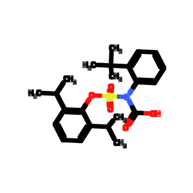 CC(C)c1cccc(C(C)C)c1OS(=O)(=O)N(C(=O)O)c1ccccc1C(C)(C)C